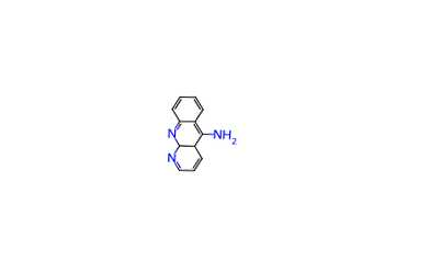 NC1=c2ccccc2=NC2N=CC=CC12